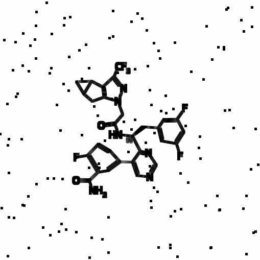 NC(=O)c1cc(-c2cncnc2[C@H](Cc2cc(F)cc(F)c2)NC(=O)Cn2nc(C(F)(F)F)c3c2CC2CC32)ccc1F